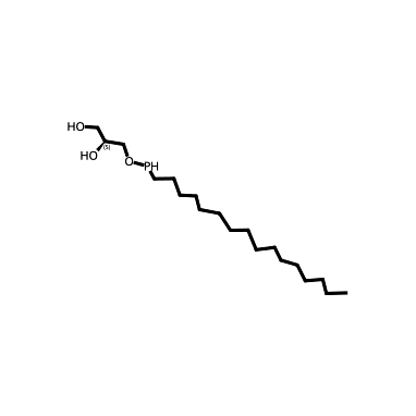 CCCCCCCCCCCCCCCCPOC[C@@H](O)CO